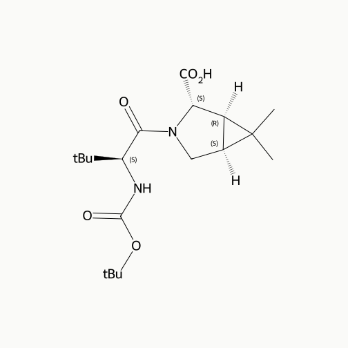 CC(C)(C)OC(=O)N[C@H](C(=O)N1C[C@H]2[C@@H]([C@H]1C(=O)O)C2(C)C)C(C)(C)C